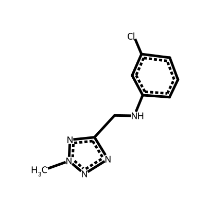 Cn1nnc(CNc2cccc(Cl)c2)n1